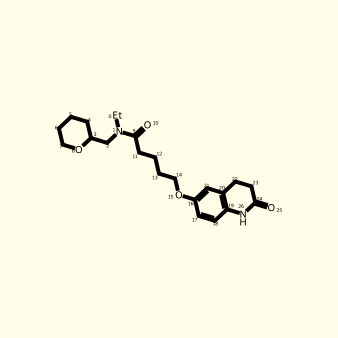 CCN(CC1CCCCO1)C(=O)CCCCOc1ccc2c(c1)CCC(=O)N2